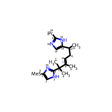 CSc1c[nH]c(C(C)(C)/C(C)=C/CC(C)c2cnc(C(C)C)[nH]2)n1